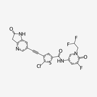 O=C1Cc2ncc(C#Cc3cc(C(=O)Nc4cc(F)c(=O)n(CC(F)F)c4)sc3Cl)cc2N1